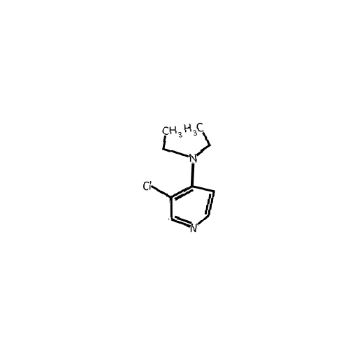 CCN(CC)c1ccn[c]c1Cl